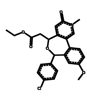 CCOC(=O)CC1OC(c2ccc(Cl)cc2)c2cc(OC)ccc2-c2cn(C)c(=O)cc21